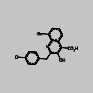 CCC(C)c1cccc2c(C(=O)O)c(O)c(Cc3ccc(Cl)cc3)nc12